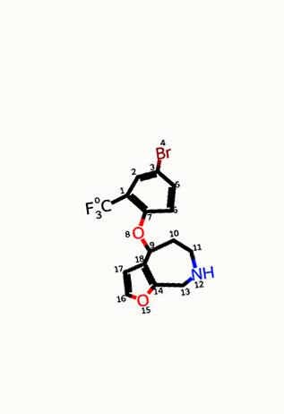 FC(F)(F)c1cc(Br)ccc1OC1CCNCc2occc21